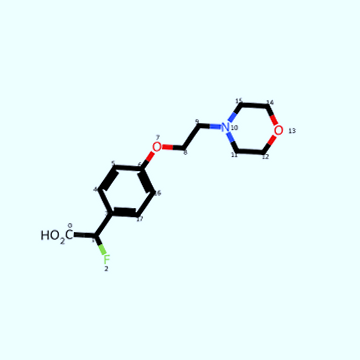 O=C(O)C(F)c1ccc(OCCN2CCOCC2)cc1